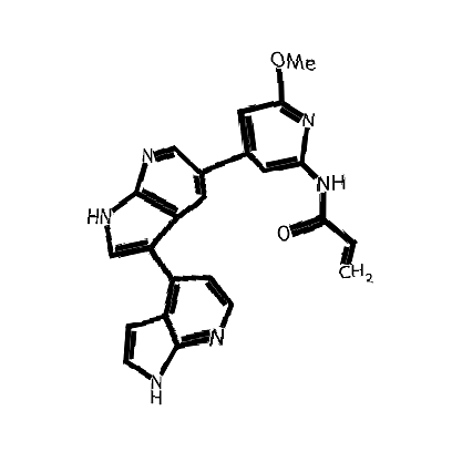 C=CC(=O)Nc1cc(-c2cnc3[nH]cc(-c4ccnc5[nH]ccc45)c3c2)cc(OC)n1